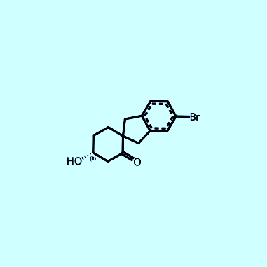 O=C1C[C@H](O)CCC12Cc1ccc(Br)cc1C2